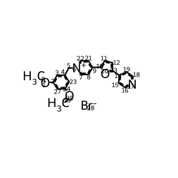 COc1cc(C[n+]2ccc(-c3ccc(-c4ccncc4)o3)cc2)cc(OC)c1.[Br-]